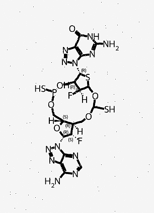 Nc1nc2c(nnn2[C@@H]2SC3OC(S)OC[C@H]4[C@H](F)[C@H](n5nnc6c(N)ncnc65)O[C@@H]4COP(S)O[C@@H]2[C@@H]3F)c(=O)[nH]1